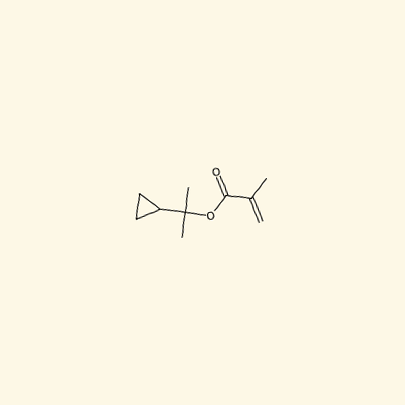 C=C(C)C(=O)OC(C)(C)C1CC1